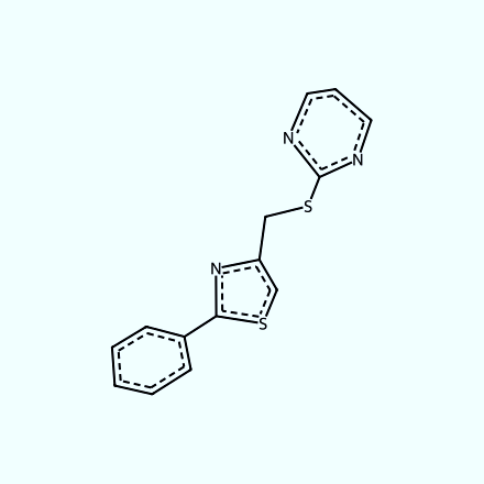 c1ccc(-c2nc(CSc3ncccn3)cs2)cc1